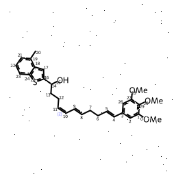 COc1cc(C=CCCC=C/C=C\CCC(O)c2cc3c(C)cccc3s2)cc(OC)c1OC